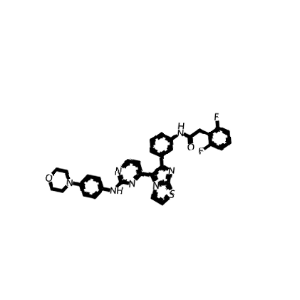 O=C(Cc1c(F)cccc1F)Nc1cccc(-c2nc3sccn3c2-c2ccnc(Nc3ccc(N4CCOCC4)cc3)n2)c1